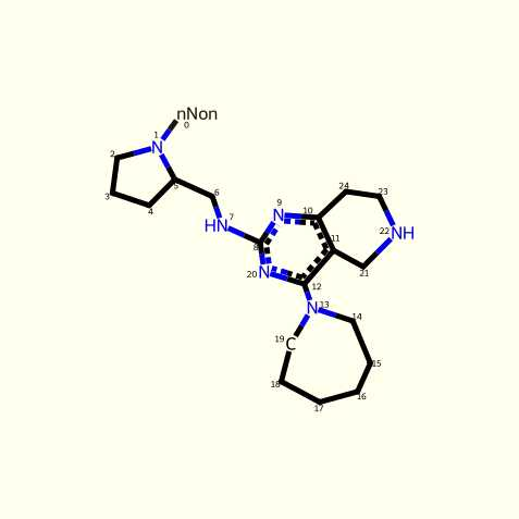 CCCCCCCCCN1CCCC1CNc1nc2c(c(N3CCCCCC3)n1)CNCC2